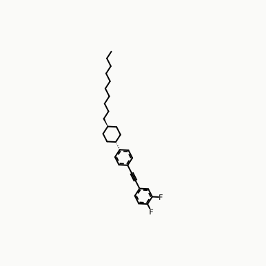 CCCCCCCCCC[C@H]1CC[C@H](c2ccc(C#Cc3ccc(F)c(F)c3)cc2)CC1